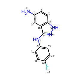 Nc1ccc2[nH]nc(Nc3ccc(F)cc3)c2c1